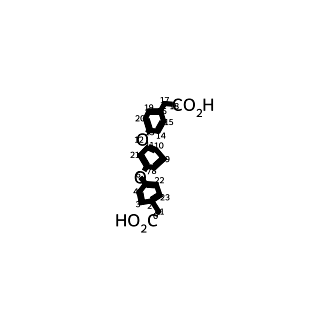 O=C(O)Cc1ccc(Oc2cccc(Oc3ccc(CC(=O)O)cc3)c2)cc1